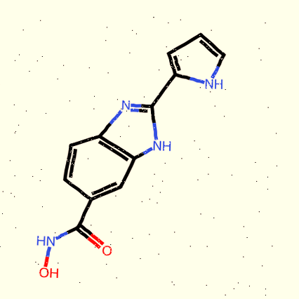 O=C(NO)c1ccc2nc(-c3ccc[nH]3)[nH]c2c1